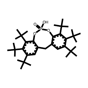 CC(C)(C)c1cc2c(c(C(C)(C)C)c1C(C)(C)C)OP(=O)(O)Oc1c(cc(C(C)(C)C)c(C(C)(C)C)c1C(C)(C)C)C2